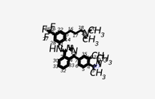 C/N=C(/C)c1ccc(-c2nnc(Nc3cc(CCCN(C)C)cc(C(F)(F)F)c3)c3ccccc23)cc1C